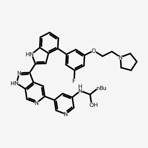 CCCCC(O)Nc1cncc(-c2cc3c(-c4cc5c(-c6cc(F)cc(OCCN7CCCC7)c6)cccc5[nH]4)n[nH]c3cn2)c1